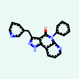 O=c1c2c(Cc3cccnc3)n[nH]c2c2cccnc2n1-c1ccccc1